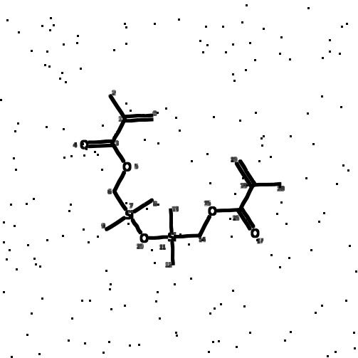 C=C(C)C(=O)OC[Si](C)(C)O[Si](C)(C)COC(=O)C(=C)C